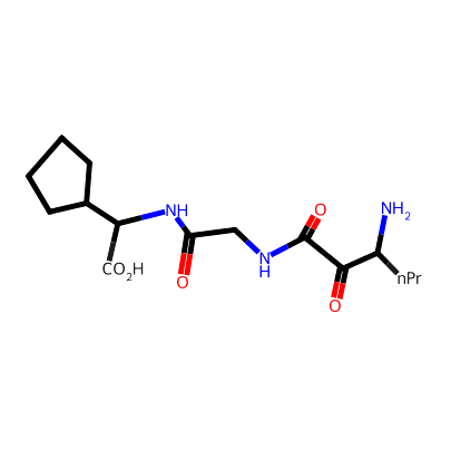 CCCC(N)C(=O)C(=O)NCC(=O)NC(C(=O)O)C1CCCC1